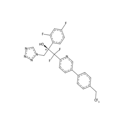 O[C@@](Cn1cnnn1)(c1ccc(F)cc1F)C(F)(F)c1ccc(-c2ccc(CC(F)(F)F)cc2)cn1